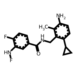 Cc1c(N)ccc(C2CC2)c1CNC(=O)c1ccc(F)c(NF)c1